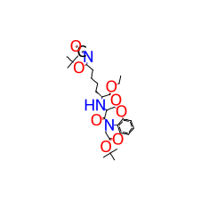 CCOC(=O)[C@H](CCCCC(N=C=O)OC(C)(C)C)N[C@H]1COc2ccccc2N(CC(=O)OC(C)(C)C)C1=O